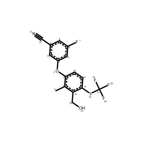 Cc1c(Oc2cc(F)cc(C#N)c2)ccc(SC(F)(F)F)c1CO